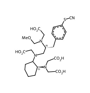 COCN(CC(=O)O)[C@H](Cc1ccc(SC#N)cc1)CN(CC(=O)O)C1CCCC[C@@H]1N(CC(=O)O)CC(=O)O